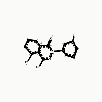 CC(C)c1nn(-c2cccc(F)c2)c(=O)c2cccc(Br)c12